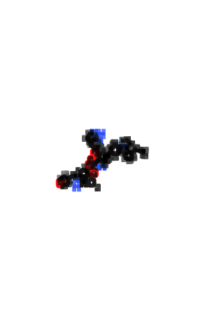 O=C(NS(=O)(=O)c1ccc(NCC2CCOCC2)c([N+](=O)[O-])c1)c1ccc(-c2ccc(N3CCCC3c3ccccc3CC3CC3)cc2)cc1Oc1cnc2[nH]ccc2c1